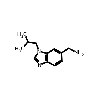 CC(C)Cn1cnc2ccc(CN)cc21